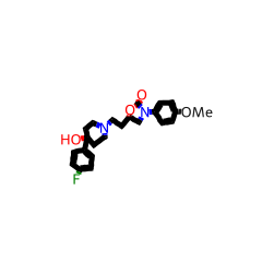 COc1ccc(N2CC(CCN3CCC(O)(c4ccc(F)cc4)CC3)OC2=O)cc1